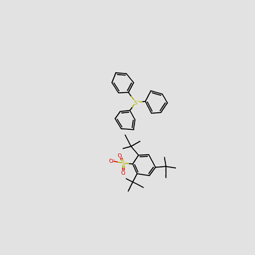 CC(C)(C)c1cc(C(C)(C)C)c(S(=O)(=O)[O-])c(C(C)(C)C)c1.c1ccc([S+](c2ccccc2)c2ccccc2)cc1